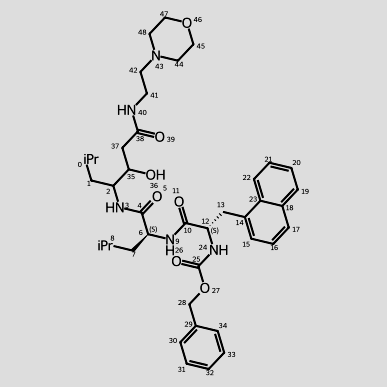 CC(C)CC(NC(=O)[C@H](CC(C)C)NC(=O)[C@H](Cc1cccc2ccccc12)NC(=O)OCc1ccccc1)C(O)CC(=O)NCCN1CCOCC1